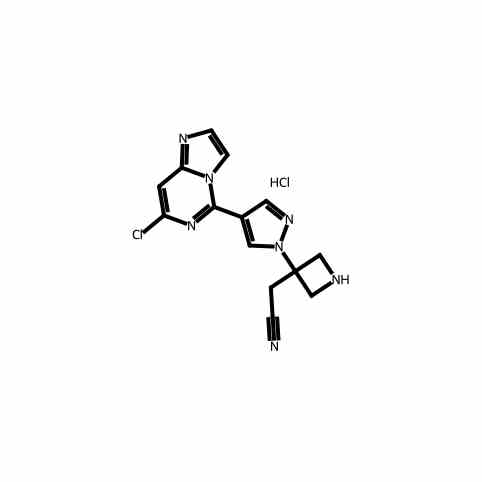 Cl.N#CCC1(n2cc(-c3nc(Cl)cc4nccn34)cn2)CNC1